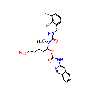 CN(C(=O)NCc1cccc(F)c1F)C(CCCCO)OC(=O)Nc1cc2ccccc2cn1